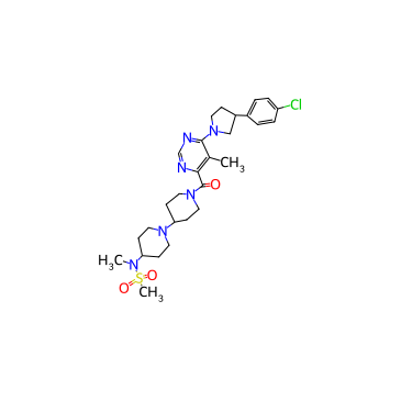 Cc1c(C(=O)N2CCC(N3CCC(N(C)S(C)(=O)=O)CC3)CC2)ncnc1N1CCC(c2ccc(Cl)cc2)C1